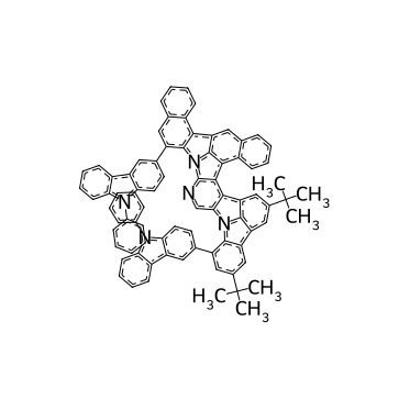 CC(C)(C)c1cc(-c2ccc3c(c2)c2ccccc2n3-c2ccccc2)c2c(c1)c1cc(C(C)(C)C)cc3c4c5c6c7ccccc7cc7c8c9ccccc9cc(-c9ccc%10c(c9)c9ccccc9n%10-c9ccccc9)c8n(c5ncc4n2c13)c76